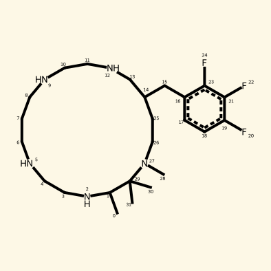 CC1NCCNCCCNCCNCC(Cc2ccc(F)c(F)c2F)CCN(C)C1(C)C